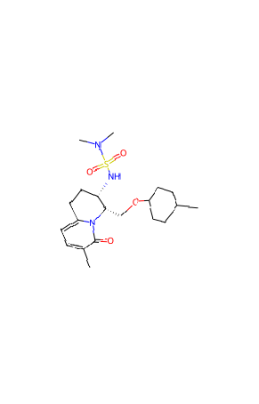 Cc1ccc2n(c1=O)[C@@H](COC1CCC(C)CC1)[C@@H](NS(=O)(=O)N(C)C)CC2